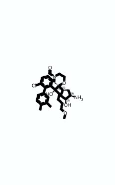 COCCCC[C@@](O)(c1cccc(Cl)c1-c1ccc(C)c(C)c1)[C@@]1([C@H]2C[C@@H](N)[C@@H](O)C2)CN(C=O)CCO1